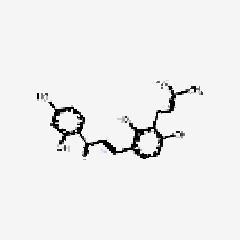 CC(C)=CCc1c(O)ccc(/C=C/C(=O)c2ccc(O)cc2O)c1O